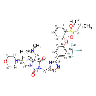 CC(C)CS(=O)(=O)c1ccccc1Oc1ccc(-c2noc(CN3C(=O)N(CCN4CCOCC4)C(C)(CN(C)C)C3=O)n2)cc1C(F)(F)F